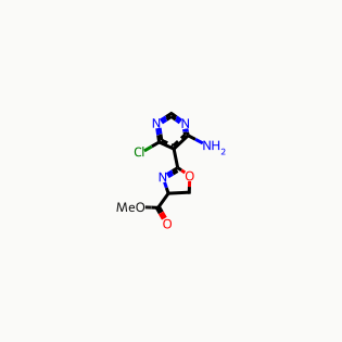 COC(=O)C1COC(c2c(N)ncnc2Cl)=N1